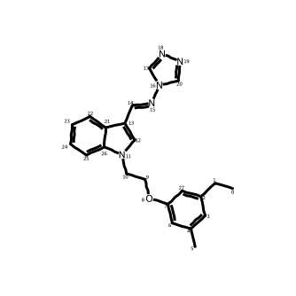 CCc1cc(C)cc(OCCn2cc(/C=N/n3cnnc3)c3ccccc32)c1